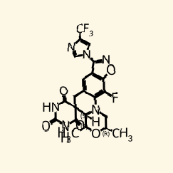 C[C@@H]1CN2c3c(cc4c(-n5cnc(C(F)(F)F)c5)noc4c3F)CC3(C(=O)NC(=O)NC3=O)[C@H]2[C@H](C)O1